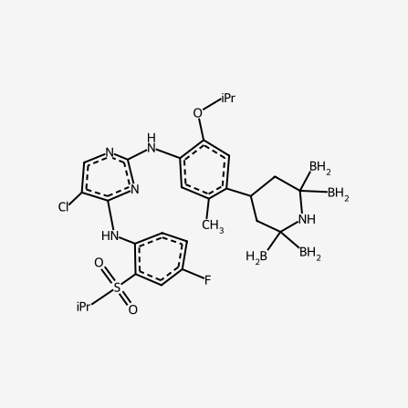 BC1(B)CC(c2cc(OC(C)C)c(Nc3ncc(Cl)c(Nc4ccc(F)cc4S(=O)(=O)C(C)C)n3)cc2C)CC(B)(B)N1